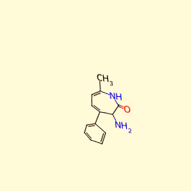 CC1=CC=C(c2ccccc2)C(N)C(=O)N1